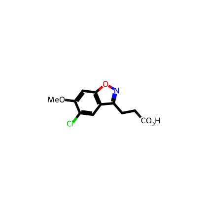 COc1cc2onc(CCC(=O)O)c2cc1Cl